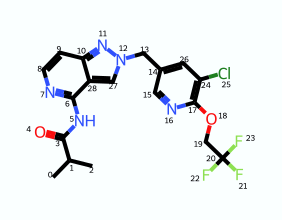 CC(C)C(=O)Nc1nccc2nn(Cc3cnc(OCC(F)(F)F)c(Cl)c3)cc12